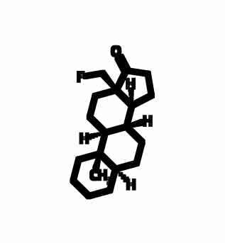 C[C@]12CCCC[C@@H]1CC[C@H]1[C@@H]3CCC(=O)[C@@]3(CF)CC[C@@H]12